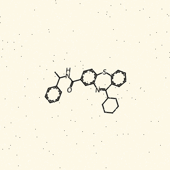 CC(NC(=O)c1ccc2c(c1)N=C(C1CCCCC1)c1ccccc1S2)c1ccccc1